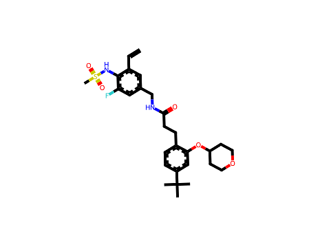 C=Cc1cc(CNC(=O)CCc2ccc(C(C)(C)C)cc2OC2CCOCC2)cc(F)c1NS(C)(=O)=O